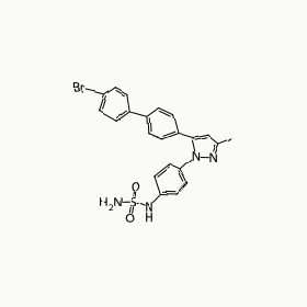 Cc1cc(-c2ccc(-c3ccc(Br)cc3)cc2)n(-c2ccc(NS(N)(=O)=O)cc2)n1